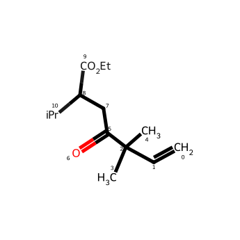 C=CC(C)(C)C(=O)CC(C(=O)OCC)C(C)C